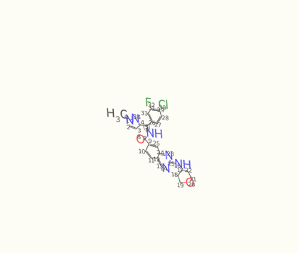 Cn1ccc([C@@H](NC(=O)c2ccc3cnc(NC4CCOCC4)nc3c2)c2ccc(Cl)c(F)c2)n1